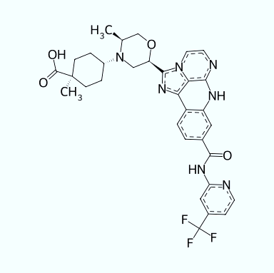 C[C@H]1CO[C@@H](c2nc3c4c(nccn24)Nc2cc(C(=O)Nc4cc(C(F)(F)F)ccn4)ccc2-3)CN1[C@H]1CC[C@](C)(C(=O)O)CC1